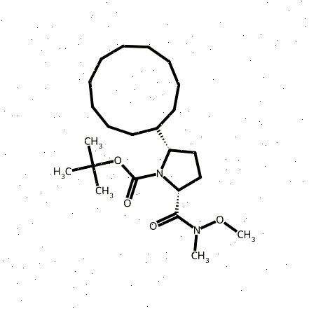 CON(C)C(=O)[C@H]1CC[C@@H](C2CCCCCCCCCC2)N1C(=O)OC(C)(C)C